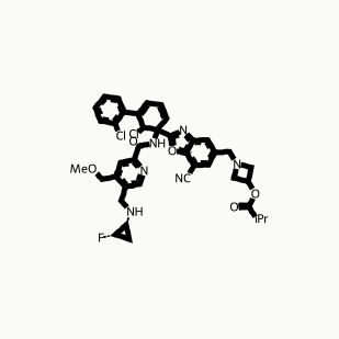 COCc1cc(C(=O)NC2(c3nc4cc(CN5CC(OC(=O)C(C)C)C5)cc(C#N)c4o3)C=CC=C(c3ccccc3Cl)C2Cl)ncc1CN[C@@H]1C[C@@H]1F